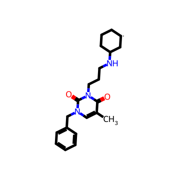 Cc1cn(Cc2ccccc2)c(=O)n(CCCNC2C[CH]CCC2)c1=O